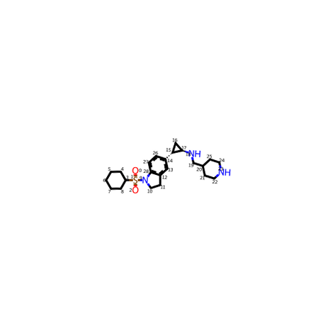 O=S(=O)(C1CCCCC1)N1CCc2cc([C@@H]3C[C@H]3NCC3CCNCC3)ccc21